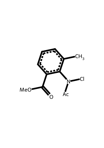 COC(=O)c1cccc(C)c1N(Cl)C(C)=O